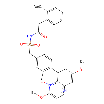 CCOC1=CC23C=NC=C2C=C(OCC)[N+]([O-])=C3C(c2ccc(CS(=O)(=O)NC(=O)Cc3ccccc3OC)cc2C)C1